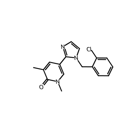 Cc1cc(-c2nccn2Cc2ccccc2Cl)cn(C)c1=O